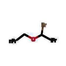 CCCCOC(Br)C(C)C